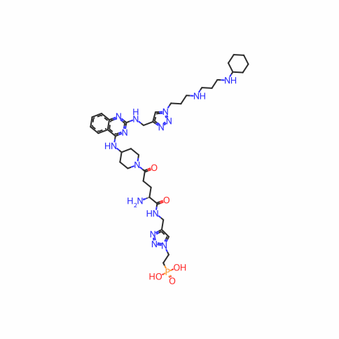 N[C@@H](CCC(=O)N1CCC(Nc2nc(NCc3cn(CCCNCCCNC4CCCCC4)nn3)nc3ccccc23)CC1)C(=O)NCc1cn(CCP(=O)(O)O)nn1